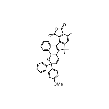 COc1ccc(C2(c3ccccc3)C=Cc3c4c(c5ccccc5c3O2)-c2c(cc(C)c3c2C(=O)OC3=O)C4(C)C)cc1